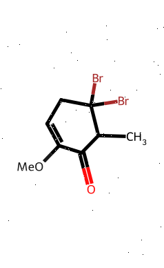 COC1=CCC(Br)(Br)C(C)C1=O